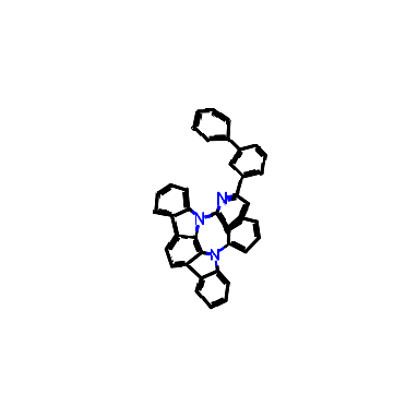 c1ccc(-c2cccc(-c3cccc(-n4c5ccccc5c5ccc6c7ccccc7n(-c7ccccc7)c6c54)n3)c2)cc1